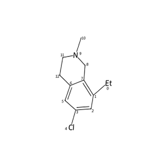 CCc1cc(Cl)cc2c1CN(C)CC2